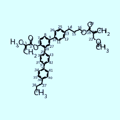 C=C(C)C(=O)Oc1ccc(-c2ccc(CCCOC(=O)C(=C)COC)cc2)cc1-c1ccc(-c2ccc(CCC)cc2)cc1